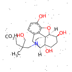 CC(CO)(CC(=O)O)CN1CC[C@]23c4c5ccc(O)c4O[C@H]2[C@@H](O)CC[C@@]3(O)[C@H]1C5